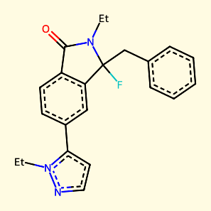 CCN1C(=O)c2ccc(-c3ccnn3CC)cc2C1(F)Cc1ccccc1